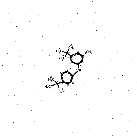 Cc1cc(Nc2ccc(C(C)(C)C)cc2)cc(C(C)(C)C)c1